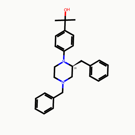 CC(C)(O)c1ccc(N2CCN(Cc3ccccc3)C[C@@H]2Cc2ccccc2)cc1